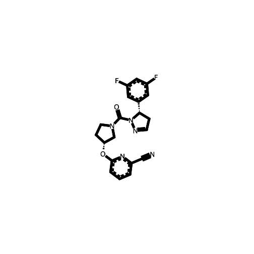 N#Cc1cccc(O[C@@H]2CCN(C(=O)N3N=CC[C@H]3c3cc(F)cc(F)c3)C2)n1